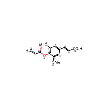 C=CC(=O)Oc1c(OC)cc(C=CC(=O)O)cc1OC